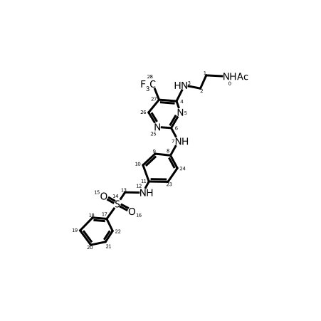 CC(=O)NCCNc1nc(Nc2ccc(NCS(=O)(=O)c3ccccc3)cc2)ncc1C(F)(F)F